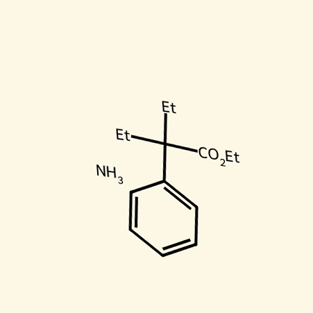 CCOC(=O)C(CC)(CC)c1ccccc1.N